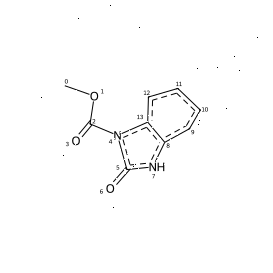 COC(=O)n1c(=O)[nH]c2ccccc21